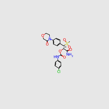 CS(=O)(=O)[C@@H](c1ccc(N2CCOCC2=O)cc1)C(OC(=O)Nc1ccc(Cl)cc1)C(N)=O